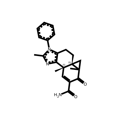 Cc1nc2c(n1-c1ccccc1)CC[C@@]13CC1(C)C(=O)C(C(N)=O)=C[C@]23C